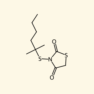 CCCCC(C)(C)SN1C(=O)CSC1=O